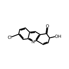 O=C1c2cc3ccc(Cl)cc3nc2C=CC1O